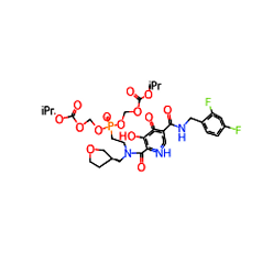 CC(C)OC(=O)OCOP(=O)(CCN(C[C@H]1CCOC1)C(=O)c1[nH]cc(C(=O)NCc2ccc(F)cc2F)c(=O)c1O)OCOC(=O)OC(C)C